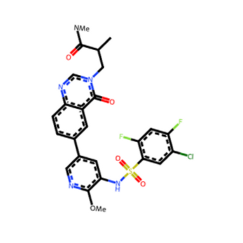 CNC(=O)C(C)Cn1cnc2ccc(-c3cnc(OC)c(NS(=O)(=O)c4cc(Cl)c(F)cc4F)c3)cc2c1=O